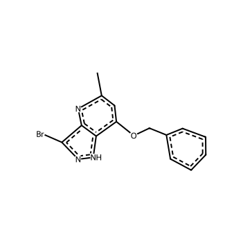 Cc1cc(OCc2ccccc2)c2[nH]nc(Br)c2n1